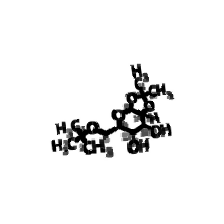 CC(C)(C)OC[C@H]1OC2OC(C)(C)O[C@@H]2[C@@H](O)[C@@H]1O